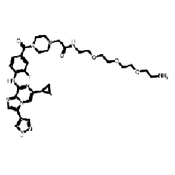 NCCOCCOCCOCCNC(=O)CN1CCN(C(=O)c2ccc(Nc3nc(C4CC4)cn4c(-c5cn[nH]c5)cnc34)c(F)c2)CC1